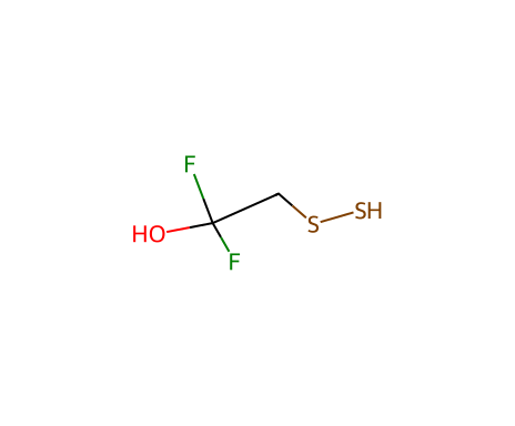 OC(F)(F)CSS